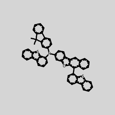 CC1(C)c2ccccc2-c2ccc(N(c3ccc4c(c3)oc3c(-c5cccc6c5sc5ccccc56)c5ccccc5cc34)c3cccc4c3sc3ccccc34)cc21